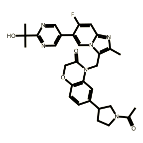 CC(=O)N1CCC(c2ccc3c(c2)N(Cc2c(C)nc4cc(F)c(-c5cnc(C(C)(C)O)nc5)cn24)C(=O)CO3)C1